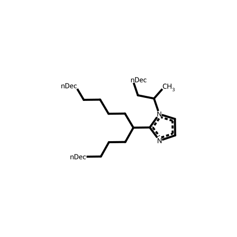 CCCCCCCCCCCCCCC(CCCCCCCCCCCCC)c1nccn1C(C)CCCCCCCCCCC